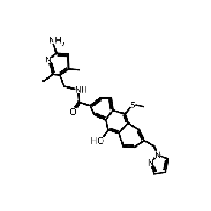 CSc1c2ccc(C(=O)NCc3c(C)cc(N)nc3C)cc2c(O)c2ccc(Cn3cccn3)cc12